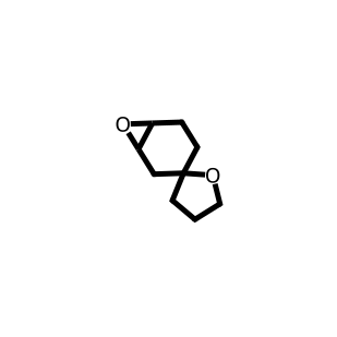 C1COC2(C1)CCC1OC1C2